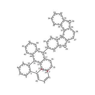 C1=CCCC(c2ccccc2-c2c3ccccc3c(-c3ccc4c(c3)oc3ccc5oc6ccccc6c5c34)c3ccccc23)=C1